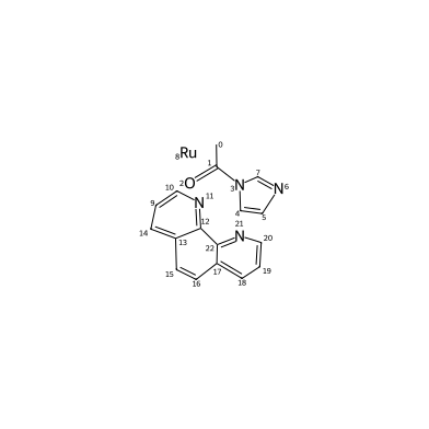 CC(=O)n1ccnc1.[Ru].c1cnc2c(c1)ccc1cccnc12